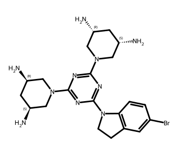 N[C@@H]1C[C@H](N)CN(c2nc(N3C[C@H](N)C[C@H](N)C3)nc(N3CCc4cc(Br)ccc43)n2)C1